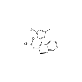 Cc1cc(C(C)(C)C)c2op(Cl)oc3ccc4ccccc4c3c2c1